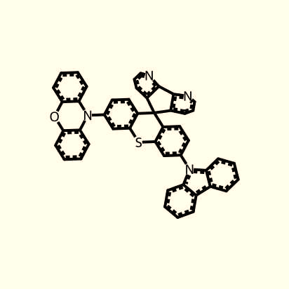 c1ccc2c(c1)Oc1ccccc1N2c1ccc2c(c1)Sc1cc(-n3c4ccccc4c4ccccc43)ccc1C21c2cccnc2-c2ncccc21